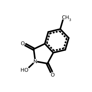 Cc1ccc2c(c1)C(=O)N(O)C2=O